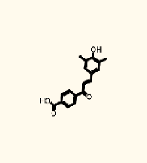 Cc1cc(/C=C/C(=O)c2ccc(C(=O)O)cc2)cc(C)c1O